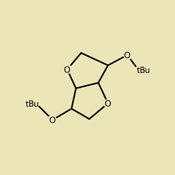 CC(C)(C)OC1COC2C(OC(C)(C)C)COC12